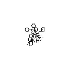 CC(C)(C)OC(=O)NC1C(=O)N2C(C(=O)OC(c3ccccc3)c3ccccc3)=C(C=CCl)C[S+]([O-])C12